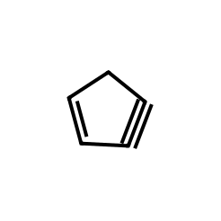 C1#CCC=C1